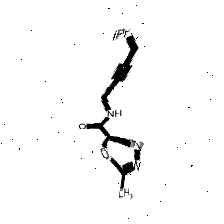 Cc1nnc(C(=O)NCC#CCC(C)C)o1